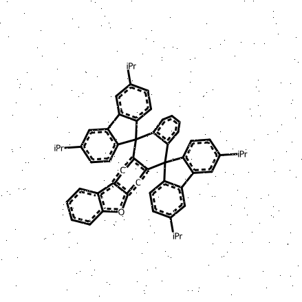 CC(C)c1ccc2c(c1)-c1cc(C(C)C)ccc1C21c2ccccc2C2(c3ccc(C(C)C)cc3-c3cc(C(C)C)ccc32)c2cc3c(cc21)oc1ccccc13